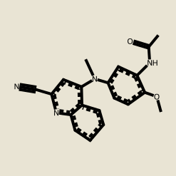 COc1ccc(N(C)c2cc(C#N)nc3ccccc23)cc1NC(C)=O